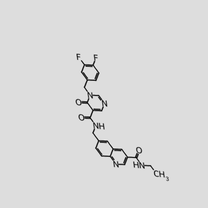 CCNC(=O)c1cnc2ccc(CNC(=O)c3cncn(Cc4ccc(F)c(F)c4)c3=O)cc2c1